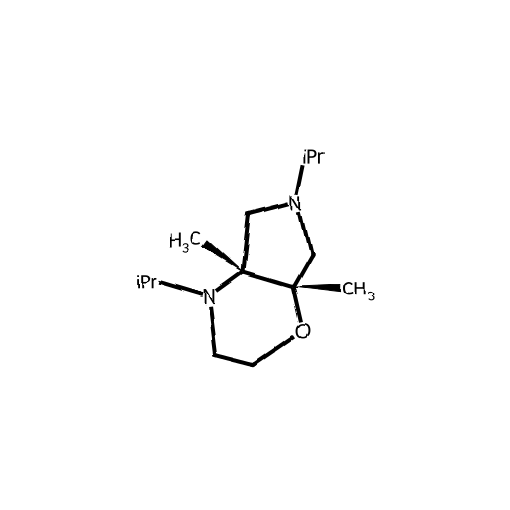 CC(C)N1C[C@@]2(C)N(C(C)C)CCO[C@@]2(C)C1